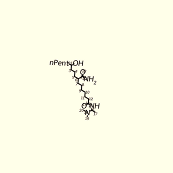 CCCCCC(O)CCCC(CCCCCCC(=O)NC(C)N(C)C)C(N)=O